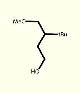 COCC(CCO)C(C)(C)C